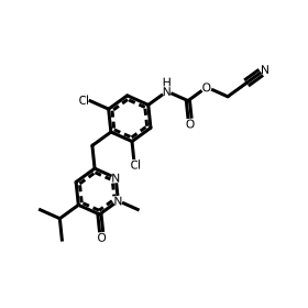 CC(C)c1cc(Cc2c(Cl)cc(NC(=O)OCC#N)cc2Cl)nn(C)c1=O